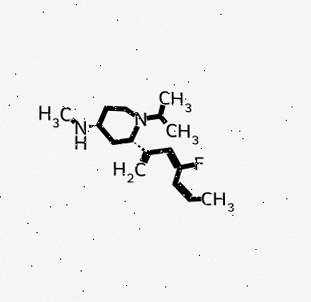 C=C(/C=C(F)\C=C/C)[C@@H]1C[C@H](NC)CCN1C(C)C